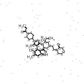 C=CC(=O)N1CCC(n2nc(N3CCN(CCN4CCOCC4=O)C[C@]3(C)CC)c(-c3c(Cl)c(C)cc4[nH]ncc34)c2C)CC1